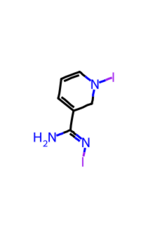 NC(=NI)C1=CC=CN(I)C1